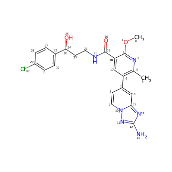 COc1nc(C)c(-c2ccn3nc(N)nc3c2)cc1C(=O)NCC[C@H](O)c1ccc(Cl)cc1